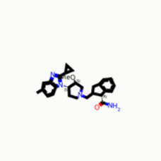 CO[C@H]1CN(CC2Cc3c[c]ccc3[C@@H]2C(N)=O)CC[C@@H]1n1c(C2CC2)nc2cc(C)ccc21